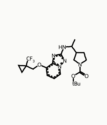 CC(Nc1nc2c(OCC3(C(F)(F)F)CC3)cccn2n1)C1CCN(C(=O)OC(C)(C)C)C1